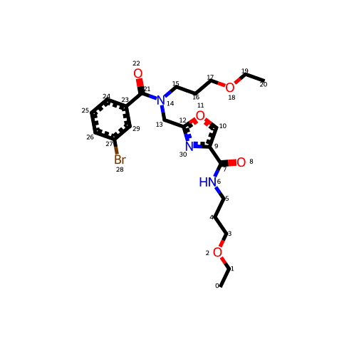 CCOCCCNC(=O)c1coc(CN(CCCOCC)C(=O)c2cccc(Br)c2)n1